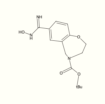 CC(C)(C)OC(=O)N1CCOc2ccc(C(=N)NO)cc2C1